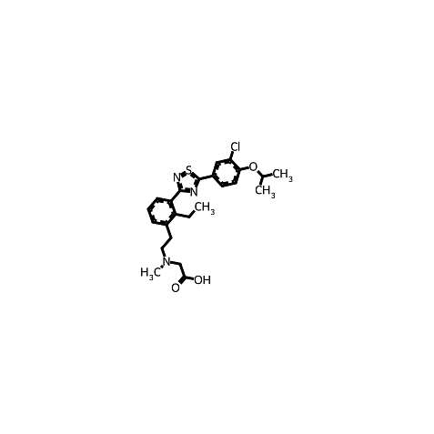 CCc1c(CCN(C)CC(=O)O)cccc1-c1nsc(-c2ccc(OC(C)C)c(Cl)c2)n1